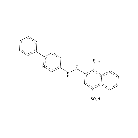 Nc1c(NNc2ccc(-c3ccccc3)nc2)cc(S(=O)(=O)O)c2ccccc12